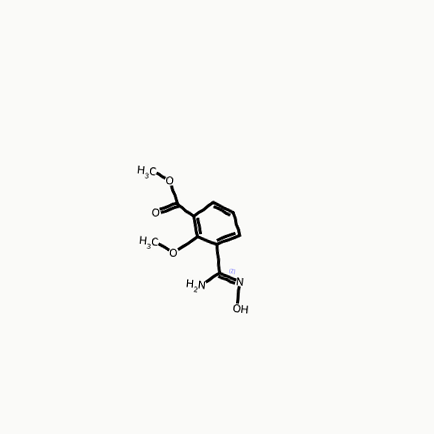 COC(=O)c1cccc(/C(N)=N/O)c1OC